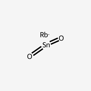 [O]=[Sn]=[O].[Rb]